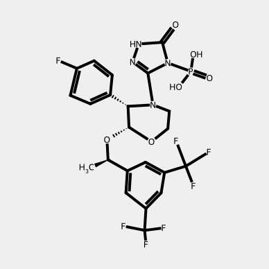 C[C@@H](O[C@H]1OCCN(c2n[nH]c(=O)n2P(=O)(O)O)[C@H]1c1ccc(F)cc1)c1cc(C(F)(F)F)cc(C(F)(F)F)c1